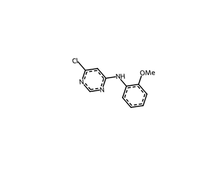 COc1ccccc1Nc1cc(Cl)ncn1